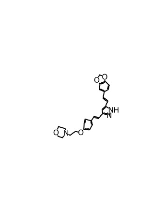 C(=Cc1cc(/C=C/c2ccc3c(c2)OCO3)[nH]n1)c1ccc(OCCN2CCOCC2)cc1